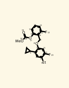 CCc1cc(C2CC2)c(OCc2c(F)cccc2OC(=O)OC)cc1F